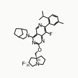 Cc1ccc(C(C)C)c(-c2ncc3c(N4CC5CCC(C5)C4)nc(OC[C@@]45CCCN4C[C@H](F)C5)nc3c2F)c1